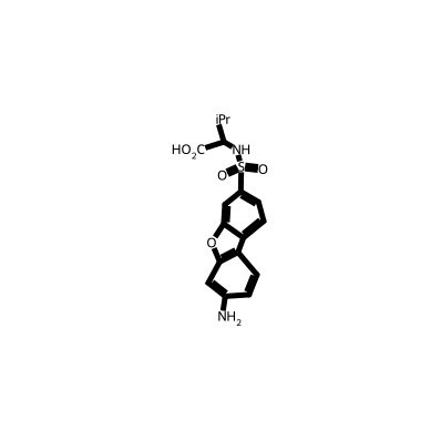 CC(C)C(NS(=O)(=O)c1ccc2c(c1)oc1cc(N)ccc12)C(=O)O